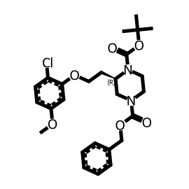 COc1ccc(Cl)c(OCC[C@@H]2CN(C(=O)OCc3ccccc3)CCN2C(=O)OC(C)(C)C)c1